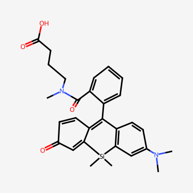 CN(CCCC(=O)O)C(=O)c1ccccc1C1=C2C=CC(=O)C=C2[Si](C)(C)c2cc(N(C)C)ccc21